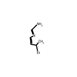 CCC(C)/C=C\N=C\N